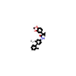 Cc1ccccc1-c1ccc(NC(=O)C2(c3ccc4c(c3)OCO4)CC2)cc1C(F)(F)F